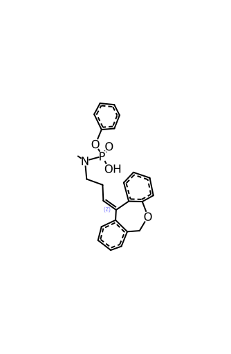 CN(CC/C=C1/c2ccccc2COc2ccccc21)P(=O)(O)Oc1ccccc1